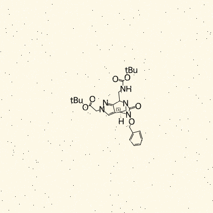 CC(C)(C)OC(=O)Cn1cc2c(n1)C(CNC(=O)OC(C)(C)C)N1C[C@H]2N(OCc2ccccc2)C1=O